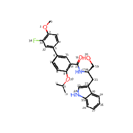 COc1ccc(-c2ccc(OC(C)C)c(C(=O)N[C@@H](CO)Cc3c[nH]c4ccccc34)c2)cc1F